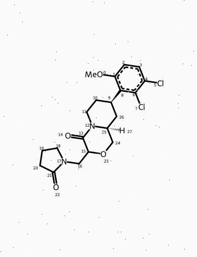 COc1ccc(Cl)c(Cl)c1[C@@H]1CCN2C(=O)C(CN3CCCC3=O)OC[C@@H]2C1